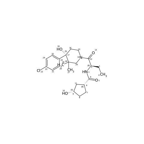 CC[C@@H](NC(=O)[C@@H]1CC[C@H](O)C1)C(=O)N1CC[C@](O)(c2ccc(Cl)cc2)C(C)(C)C1